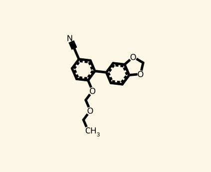 CCOCOc1ccc(C#N)cc1-c1ccc2c(c1)OCO2